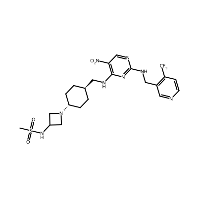 CS(=O)(=O)NC1CN([C@H]2CC[C@H](CNc3nc(NCc4cnccc4C(F)(F)F)ncc3[N+](=O)[O-])CC2)C1